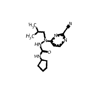 CC(C)CN(NC(=O)NC1CCCC1)c1ccnc(C#N)n1